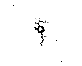 CN(C)C(=O)c1ccc(NCCCF)cc1Cl